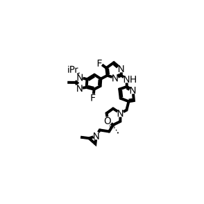 Cc1nc2c(F)cc(-c3nc(Nc4ccc(CN5CCO[C@](C)(CCN6CC6C)C5)cn4)ncc3F)cc2n1C(C)C